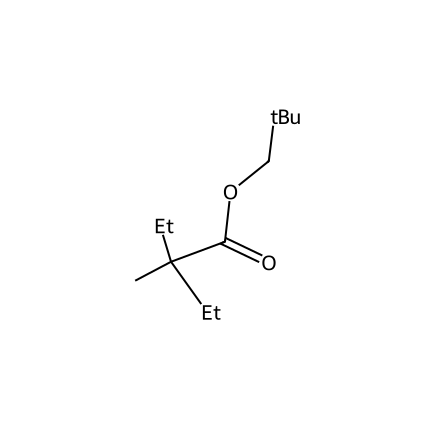 CCC(C)(CC)C(=O)OCC(C)(C)C